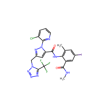 CNC(=O)c1cc(I)cc(C)c1NC(=O)c1cc(Cn2nnnc2C(F)(F)F)nn1-c1ncccc1Cl